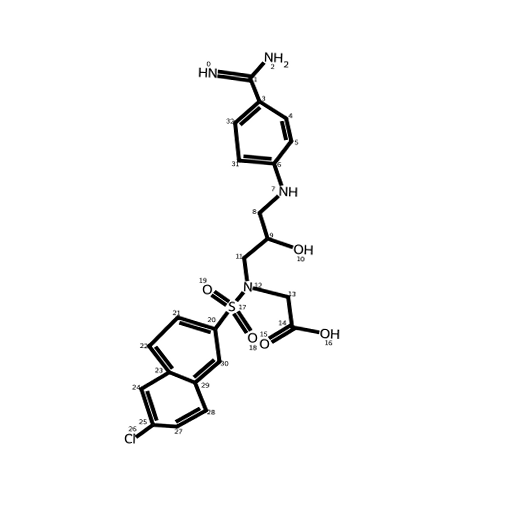 N=C(N)c1ccc(NCC(O)CN(CC(=O)O)S(=O)(=O)c2ccc3cc(Cl)ccc3c2)cc1